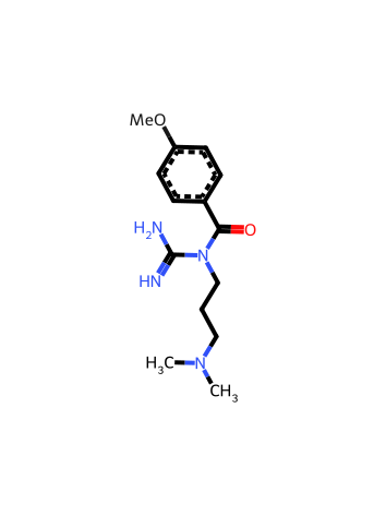 COc1ccc(C(=O)N(CCCN(C)C)C(=N)N)cc1